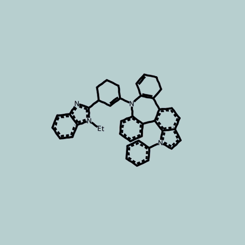 CCn1c(C2C=C(N3C4=C(CCC=C4)c4ccc5ccn(-c6ccccc6)c5c4-c4ccccc43)CCC2)nc2ccccc21